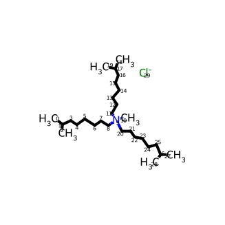 CC(C)CCCCCC[N+](C)(CCCCCCC(C)C)CCCCCCC(C)C.[Cl-]